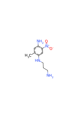 Cc1cc(N)c([N+](=O)[O-])cc1NCCCN